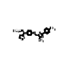 Cc1ccc(C2=NC(C)C(COc3ccc([C@H](CC(=O)O)C4=NOCC4)cc3)S2)cc1